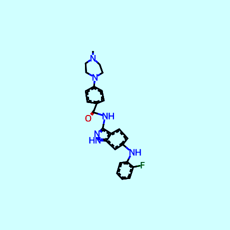 CN1CCN(c2ccc(C(=O)Nc3n[nH]c4cc(Nc5ccccc5F)ccc34)cc2)CC1